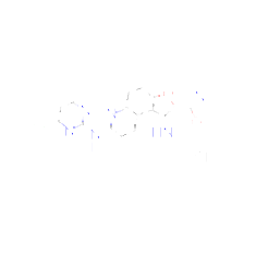 CCCNc1c(C(N)=O)oc2ccc3nc(Nc4nccc(Cl)n4)ccc3c12